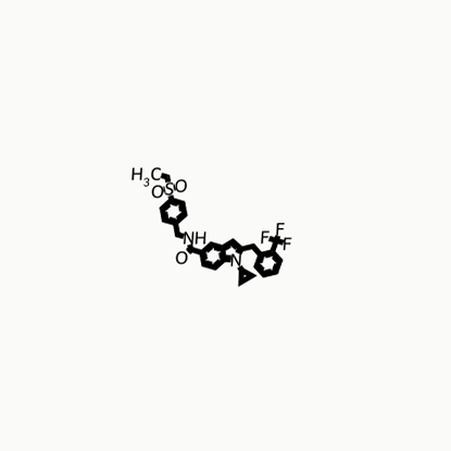 CCS(=O)(=O)c1ccc(CNC(=O)c2ccc3c(c2)cc(Cc2ccccc2C(F)(F)F)n3C2CC2)cc1